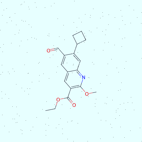 CCOC(=O)c1cc2cc(C=O)c(C3CCC3)cc2nc1OC